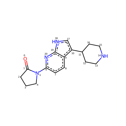 O=C1CCCN1c1ccc2c(C3CCNCC3)c[nH]c2n1